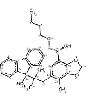 CCCCOC[C@@H](O)c1cc(CC(C)(C)[Si](O)(c2ccccc2)c2ccccc2)c(C)c2c1OCO2